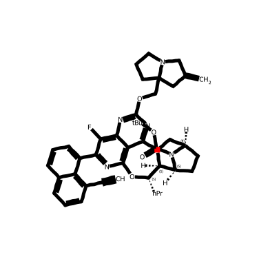 C#Cc1cccc2cccc(-c3nc4c5c(nc(OCC67CCCN6CC(=C)C7)nc5c3F)N3C[C@H]5CC[C@@H]([C@H]3[C@H](CCC)O4)N5C(=O)OC(C)(C)C)c12